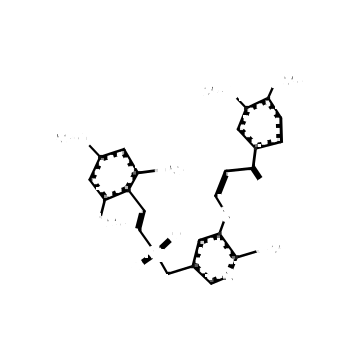 COc1cc(OC)c(/C=C/S(=O)(=O)Cc2cnc(OC)c(N/C=C\C(=O)c3ccc(OC)c(OC)c3)c2)c(OC)c1